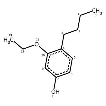 CCCCc1ccc(O)cc1OCC